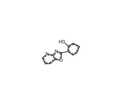 Oc1ccccc1-c1nc2ncccc2o1